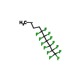 C[CH]CCC(F)(F)C(F)(F)C(F)(F)C(F)(F)C(F)(F)C(F)(F)F